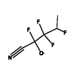 CC(F)C(F)(F)C([O])(F)C#N